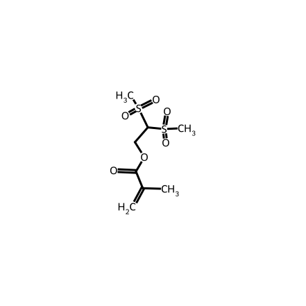 C=C(C)C(=O)OCC(S(C)(=O)=O)S(C)(=O)=O